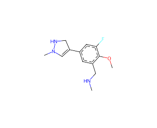 CNCc1cc(C2=CN(C)NC2)cc(F)c1OC